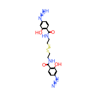 [N-]=[N+]=Nc1ccc(C(=O)NCCSSCCNC(=O)c2ccc(N=[N+]=N)cc2O)c(O)c1